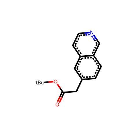 CC(C)(C)OC(=O)Cc1ccc2cnccc2c1